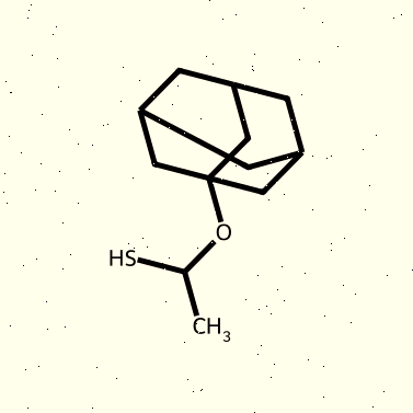 CC(S)OC12CC3CC(CC(C3)C1)C2